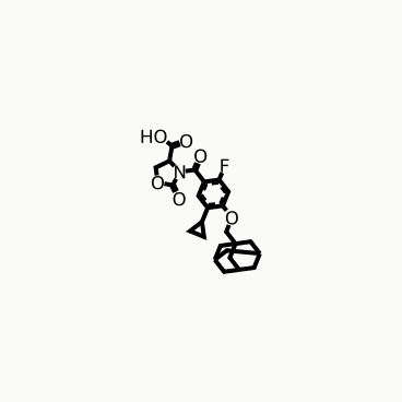 O=C(O)C1COC(=O)N1C(=O)c1cc(C2CC2)c(OCC23CC4CC(CC(C4)C2)C3)cc1F